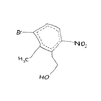 Cc1c(Br)ccc([N+](=O)[O-])c1CO